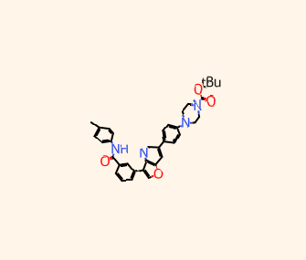 Cc1ccc(NC(=O)c2cccc(-c3coc4cc(-c5ccc(N6CCN(C(=O)OC(C)(C)C)CC6)cc5)cnc34)c2)cc1